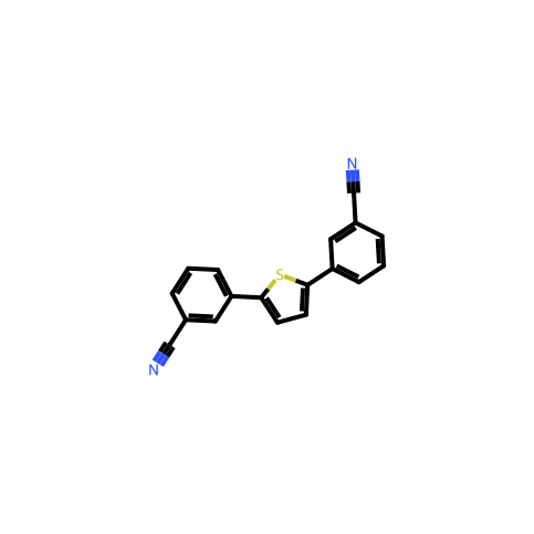 N#Cc1cccc(-c2ccc(-c3cccc(C#N)c3)s2)c1